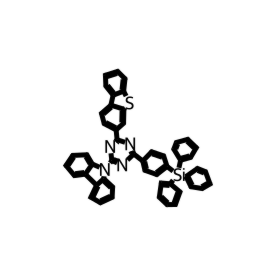 c1ccc([Si](c2ccccc2)(c2ccccc2)c2ccc(-c3nc(-c4ccc5c(c4)sc4ccccc45)nc(-n4c5ccccc5c5ccccc54)n3)cc2)cc1